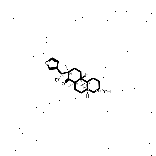 CC[C@H](c1ccoc1)[C@@]1(C)CC[C@H]2[C@@H](CC[C@@H]3C[C@@H](O)CC[C@@]32C)C1=O